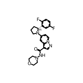 O=C(NN1CCOCC1)c1cnn2ccc(N3CCC[C@@H]3c3cc(F)ccc3F)cc12